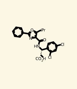 CC(C)c1oc(-c2ccccc2)nc1C(=O)N[C@@H](CC(=O)O)c1ccc(Cl)cc1Cl